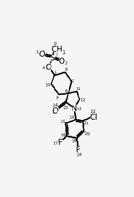 CS(=O)(=O)OC1CCC2(CC1)CCN(c1cc(F)c(F)cc1Cl)C2=O